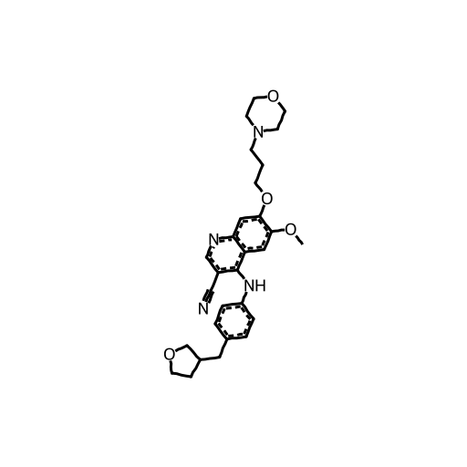 COc1cc2c(Nc3ccc(CC4CCOC4)cc3)c(C#N)cnc2cc1OCCCN1CCOCC1